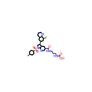 Cc1ccc(S(=O)(=O)n2cc(-c3cc(F)c4ncccc4c3)c3cc(C(=O)NCCCNC(=O)O)cnc32)cc1